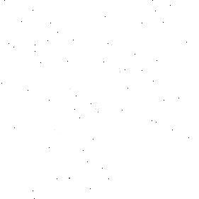 C1=Cc2ccccc21.O=C1C=CC(=O)N1